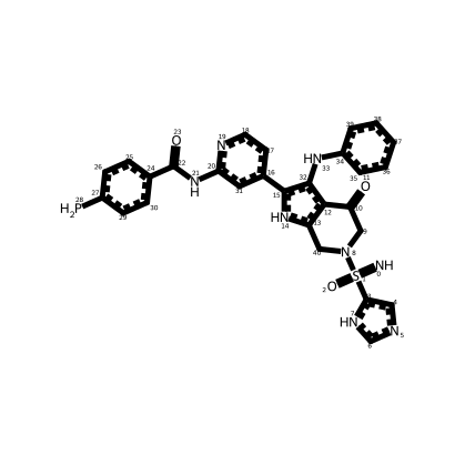 N=S(=O)(c1cnc[nH]1)N1CC(=O)c2c([nH]c(-c3ccnc(NC(=O)c4ccc(P)cc4)c3)c2Nc2ccccc2)C1